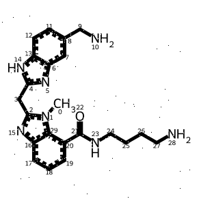 Cn1c(Cc2nc3cc(CN)ccc3[nH]2)nc2cccc(C(=O)NCCCCN)c21